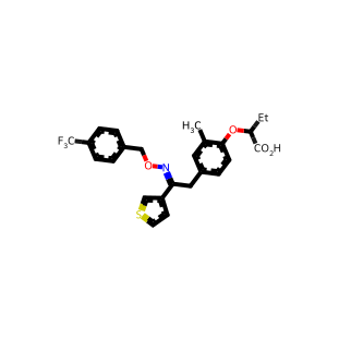 CCC(Oc1ccc(CC(=NOCc2ccc(C(F)(F)F)cc2)c2ccsc2)cc1C)C(=O)O